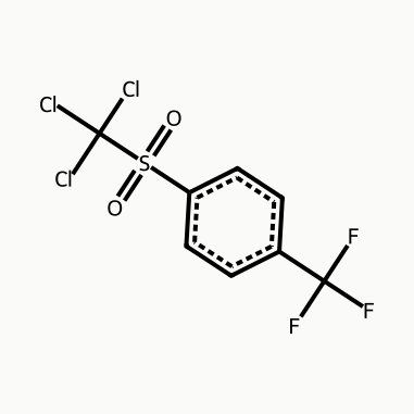 O=S(=O)(c1ccc(C(F)(F)F)cc1)C(Cl)(Cl)Cl